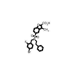 Cc1c(C(=O)O)oc2ccc(S(=O)(=O)N(CCc3ccccc3)Cc3ccc(Br)cc3F)cc12